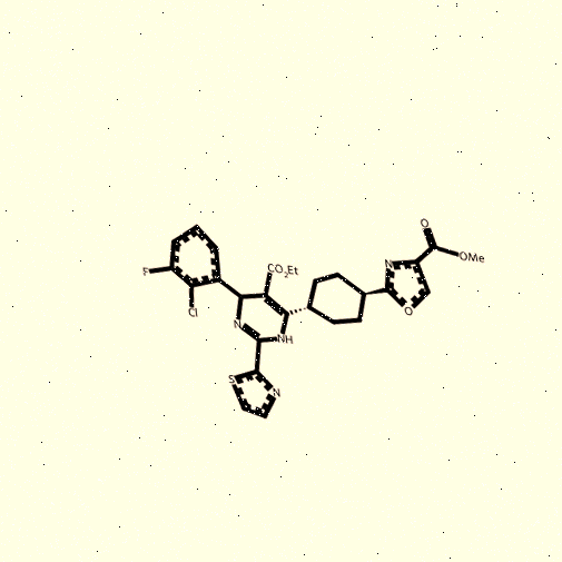 CCOC(=O)C1=C([C@H]2CC[C@H](c3nc(C(=O)OC)co3)CC2)NC(c2nccs2)=NC1c1cccc(F)c1Cl